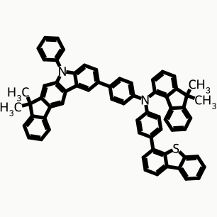 CC1(C)c2ccccc2-c2cc3c4cc(-c5ccc(N(c6ccc(-c7cccc8c7sc7ccccc78)cc6)c6cccc7c6-c6ccccc6C7(C)C)cc5)ccc4n(-c4ccccc4)c3cc21